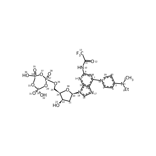 CCN(C)c1cc[n+](-c2nc(NC(=O)C(F)(F)F)nc3c2ncn3[C@H]2C[C@@H](O)[C@@H](COP3(=O)OP(=O)(O)OP(=O)(O)O3)O2)cc1